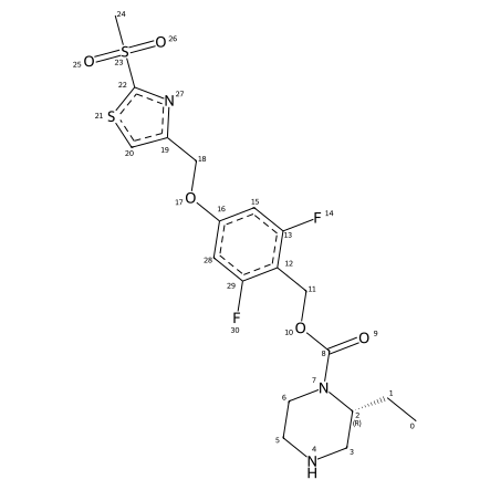 CC[C@@H]1CNCCN1C(=O)OCc1c(F)cc(OCc2csc(S(C)(=O)=O)n2)cc1F